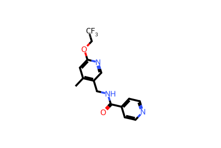 Cc1cc(OCC(F)(F)F)ncc1CNC(=O)c1ccncc1